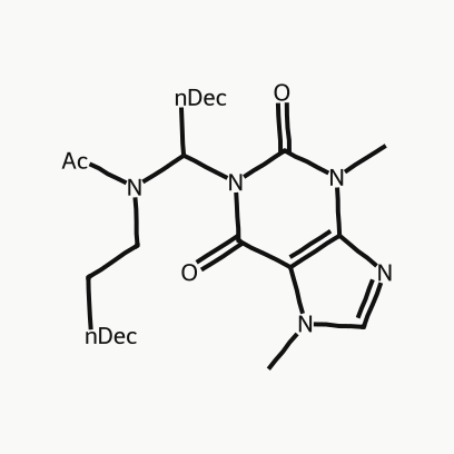 CCCCCCCCCCCCN(C(C)=O)C(CCCCCCCCCC)n1c(=O)c2c(ncn2C)n(C)c1=O